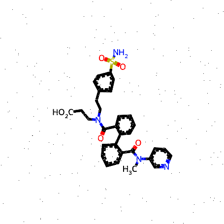 CN(C(=O)c1ccccc1-c1ccccc1C(=O)N(CCC(=O)O)CCc1ccc(S(N)(=O)=O)cc1)c1cccnc1